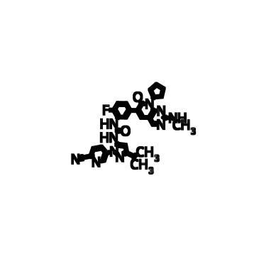 CNc1ncc2cc(-c3ccc(F)c(NC(=O)Nc4cc(C(C)C)nn4-c4ccc(C#N)nc4)c3)c(=O)n(C3CCCC3)c2n1